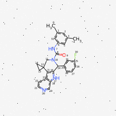 Cc1cc(C)cc(NC(=O)N2CC3(CC3)c3c([nH]c4cnccc34)C2c2cccc(F)c2)c1